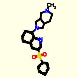 CN1CCC2CN(c3cccc4cc(S(=O)(=O)c5ccccc5)cnc34)CC2C1